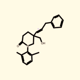 Cc1cccc(C)c1N1CC(/C=C/Cc2ccccc2)(CO)CCC1=O